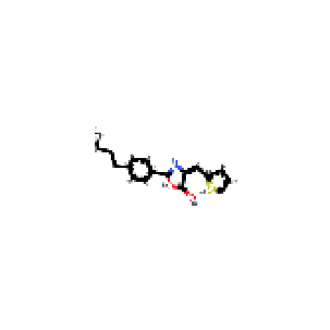 CCCCc1ccc(C2=N/C(=C/c3cccs3)C(=O)O2)cc1